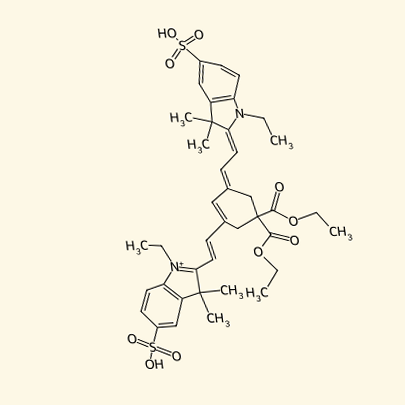 CCOC(=O)C1(C(=O)OCC)CC(/C=C/C2=[N+](CC)c3ccc(S(=O)(=O)O)cc3C2(C)C)=CC(=C/C=C2/N(CC)c3ccc(S(=O)(=O)O)cc3C2(C)C)/C1